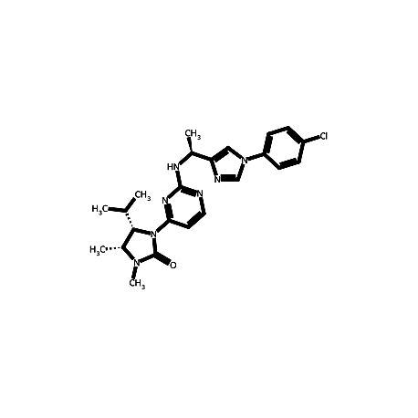 CC(C)[C@H]1[C@@H](C)N(C)C(=O)N1c1ccnc(N[C@@H](C)c2cn(-c3ccc(Cl)cc3)cn2)n1